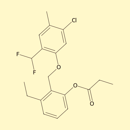 CCC(=O)Oc1cccc(CC)c1COc1cc(Cl)c(C)cc1C(F)F